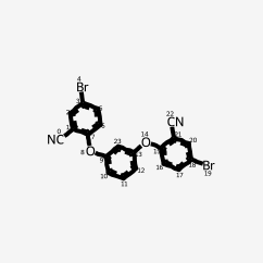 N#Cc1cc(Br)ccc1Oc1cccc(Oc2ccc(Br)cc2C#N)c1